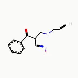 C=CCNCC(C=NO)C(=O)c1ccccc1